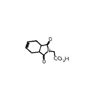 O=C(O)CN1C(=O)C2CC=CCC2C1=O